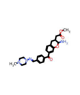 COC(=O)CC1Cc2ccc(C(=O)c3ccc(C=NN4CCN(C)CC4)cc3)cc2OC1N